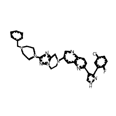 Fc1ccc(Cl)cc1-c1n[nH]cc1-c1ccc2ncc(N3CCn4nc(N5CCN(Cc6ccccc6)CC5)nc4C3)cc2n1